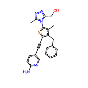 Cc1c(-n2c(C)nnc2CO)sc(C#Cc2ccc(N)nc2)c1Cc1ccccc1